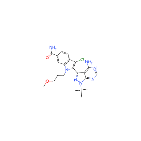 COCCCn1c(-c2nn(C(C)(C)C)c3ncnc(N)c23)c(Cl)c2ccc(C(N)=O)cc21